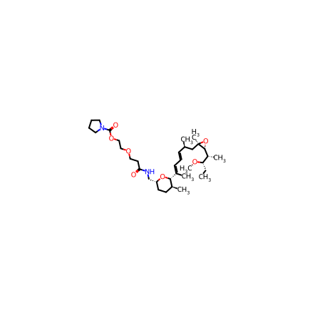 CC[C@H](OC)[C@@H](C)[C@H]1O[C@]1(C)C[C@H](C)/C=C/C=C(\C)[C@H]1O[C@@H](CNC(=O)CCOCCOC(=O)N2CCCC2)CC[C@@H]1C